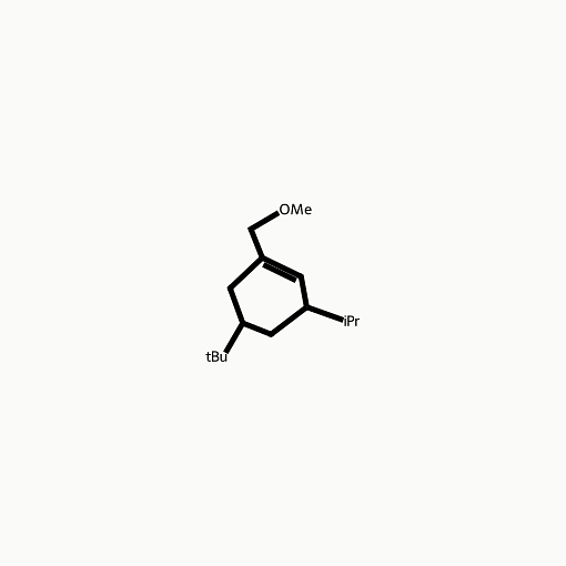 COCC1=CC(C(C)C)CC(C(C)(C)C)C1